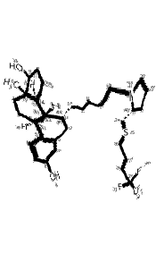 C[C@]12CC[C@@H]3c4ccc(O)cc4C[C@@H](CCCCCN4CCC[C@@H]4CSCCCC(F)(F)C(F)(F)F)[C@H]3[C@@H]1CC[C@@H]2O